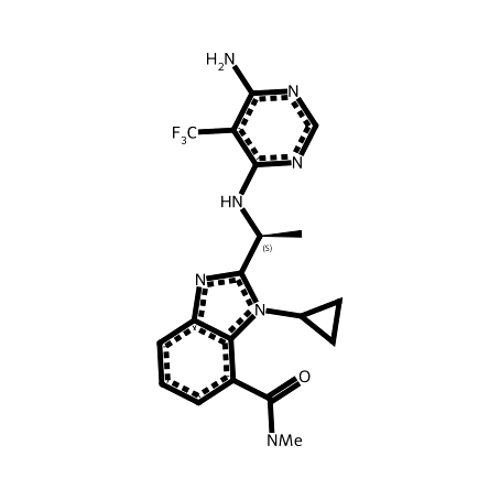 CNC(=O)c1cccc2nc([C@H](C)Nc3ncnc(N)c3C(F)(F)F)n(C3CC3)c12